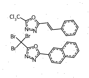 BrC(Br)(Br)c1nnc(-c2ccc3ccccc3c2)o1.ClC(Cl)(Cl)c1nnc(C=Cc2ccccc2)o1